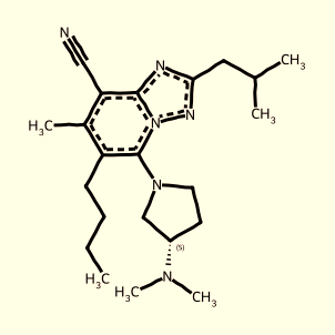 CCCCc1c(C)c(C#N)c2nc(CC(C)C)nn2c1N1CC[C@H](N(C)C)C1